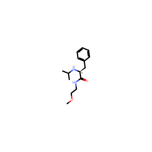 COCCNC(=O)[C@H](Cc1ccccc1)NC(C)C